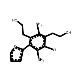 Nc1c(CCO)c(Cl)c(N)c(-c2cccs2)c1CCO